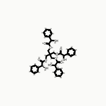 O=C(OCC(COC(=O)C(S)c1ccccc1)(COC(=O)C(S)c1ccccc1)COC(=O)[C@@H](S)c1ccccc1)C(S)c1ccccc1